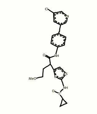 COCCC(C(=O)Nc1ccc(-c2cncc(Cl)c2)cc1)c1csc(N[S+]([O-])C2CC2)n1